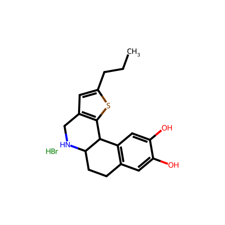 Br.CCCc1cc2c(s1)C1c3cc(O)c(O)cc3CCC1NC2